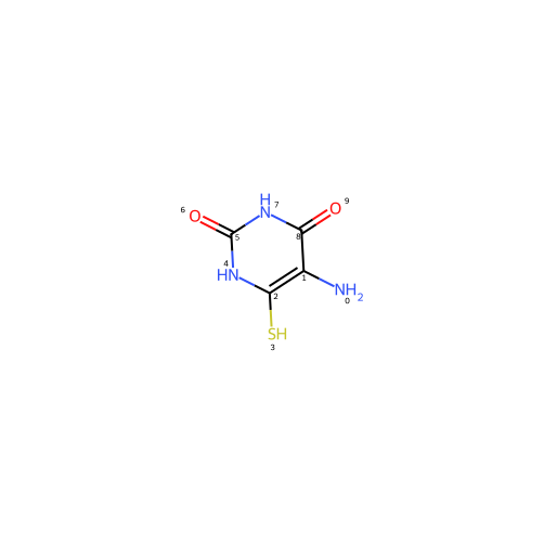 Nc1c(S)[nH]c(=O)[nH]c1=O